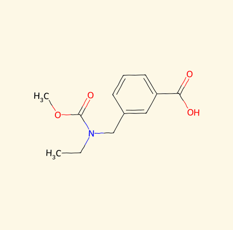 CCN(Cc1cccc(C(=O)O)c1)C(=O)OC